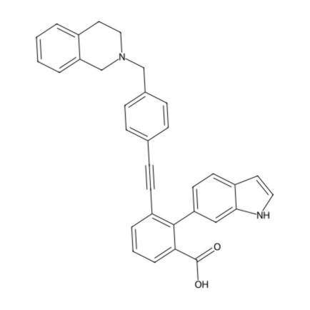 O=C(O)c1cccc(C#Cc2ccc(CN3CCc4ccccc4C3)cc2)c1-c1ccc2cc[nH]c2c1